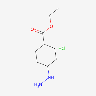 CCOC(=O)C1CCC(NN)CC1.Cl